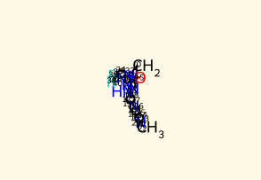 C=CCn1c(=O)c2cnc(Nc3ccc(N4CCC5(CCN(C)CC5)CC4)cc3)nc2n1-c1cccc(C(F)(F)F)n1